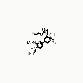 CNc1nc(C2CCC(C)(C)C(NC(=O)OCCF)C2)ccc1NCC(C)(C)C